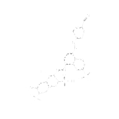 N#Cc1ccc(/N=N/c2ccc(/N=N/c3c(S(=O)(=O)O)cc4cc(S(=O)(=O)O)c(N)cc4c3O)c3cc(S(=O)(=O)O)ccc23)cc1